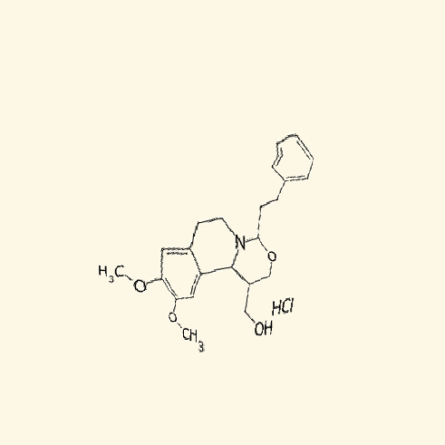 COc1cc2c(cc1OC)C1C(CO)COC(CCc3ccccc3)N1CC2.Cl